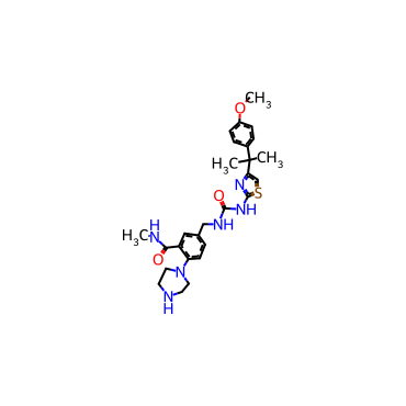 CNC(=O)c1cc(CNC(=O)Nc2nc(C(C)(C)c3ccc(OC)cc3)cs2)ccc1N1CCNCC1